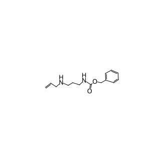 C=CCNCCCNC(=O)OCc1ccccc1